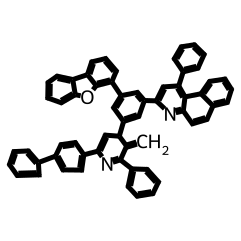 C=C1C(c2ccccc2)=NC(c2ccc(-c3ccccc3)cc2)=CC1c1cc(-c2cc(-c3ccccc3)c3c(ccc4ccccc43)n2)cc(-c2cccc3c2oc2ccccc23)c1